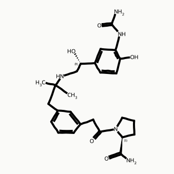 CC(C)(Cc1cccc(CC(=O)N2CCC[C@H]2C(N)=O)c1)NC[C@H](O)c1ccc(O)c(NC(N)=O)c1